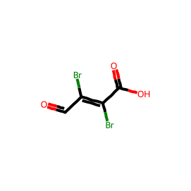 O=CC(Br)=C(Br)C(=O)O